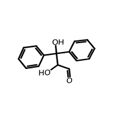 O=CC(O)C(O)(c1ccccc1)c1ccccc1